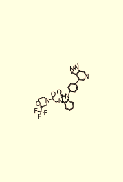 Cn1ncc2c(-c3ccc(-n4c(=O)n(CC(=O)N5CCO[C@H](C(F)(F)F)C5)c5ccccc54)cc3)cncc21